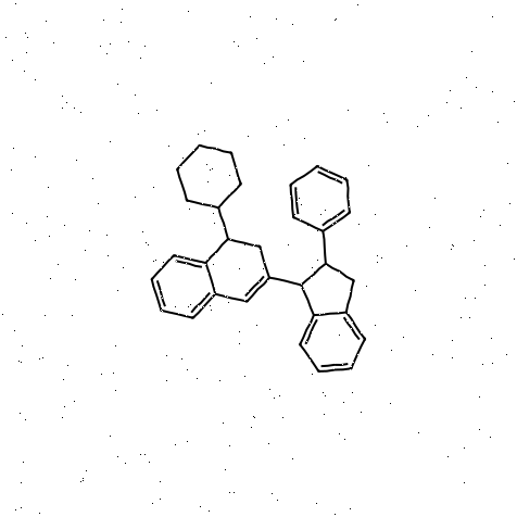 C1=C(C2c3ccccc3CC2c2ccccc2)CC(C2CCCCC2)c2ccccc21